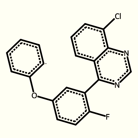 Fc1ccc(Oc2[c]cccc2)cc1-c1ncnc2c(Cl)cccc12